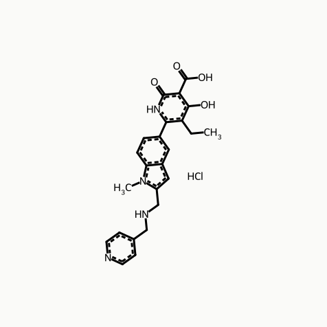 CCc1c(-c2ccc3c(c2)cc(CNCc2ccncc2)n3C)[nH]c(=O)c(C(=O)O)c1O.Cl